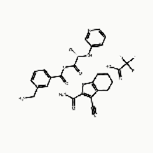 N#Cc1c(C(N)=O)sc2c1CCCC2.NCc1cccc(C(=O)OC(=O)[C@H](Cl)Nc2cccnc2)c1.O=C(O)C(F)(F)F